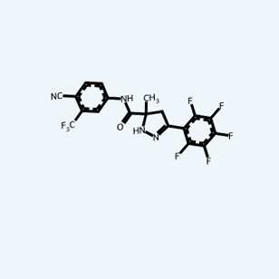 CC1(C(=O)Nc2ccc(C#N)c(C(F)(F)F)c2)CC(c2c(F)c(F)c(F)c(F)c2F)=NN1